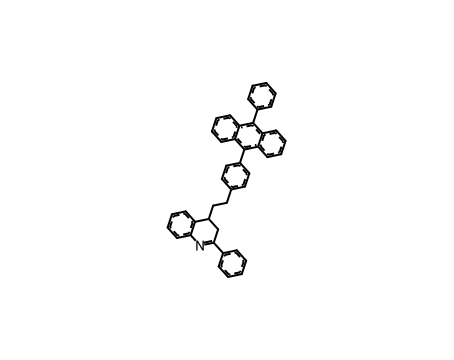 c1ccc(C2=Nc3ccccc3C(CCc3ccc(-c4c5ccccc5c(-c5ccccc5)c5ccccc45)cc3)C2)cc1